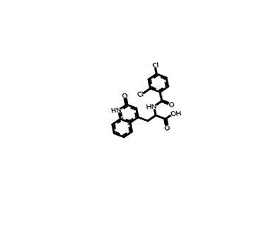 O=C(NC(Cc1cc(=O)[nH]c2ccccc12)C(=O)O)c1ccc(Cl)cc1Cl